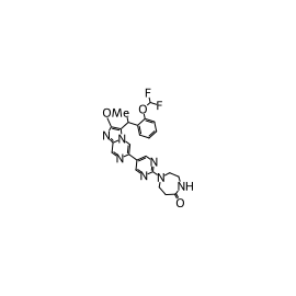 COC(c1ccccc1OC(F)F)c1c(C)nc2cnc(-c3cnc(N4CCNC(=O)CC4)nc3)cn12